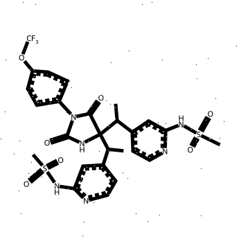 CC(c1ccnc(NS(C)(=O)=O)c1)C1(C(C)c2ccnc(NS(C)(=O)=O)c2)NC(=O)N(c2ccc(OC(F)(F)F)cc2)C1=O